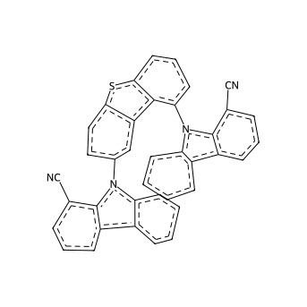 N#Cc1cccc2c3ccccc3n(-c3ccc4sc5cccc(-n6c7ccccc7c7cccc(C#N)c76)c5c4c3)c12